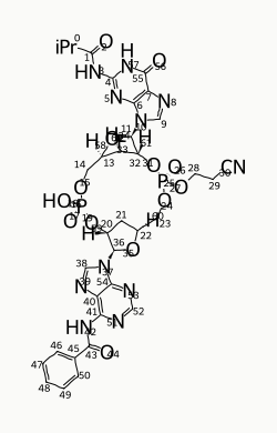 CC(C)C(=O)Nc1nc2c(ncn2[C@@H]2O[C@@H]3COP(=O)(O)O[C@@H]4C[C@@H](COP(=O)(OCCC#N)O[C@@H]2[C@@H]3F)O[C@H]4n2cnc3c(NC(=O)c4ccccc4)ncnc32)c(=O)[nH]1